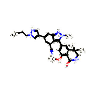 CCCn1cc(-c2cc(C#N)c3c(-c4cc(OC)c5c(c4)C(C)(C)CNC5=O)n(C)nc3c2)cn1